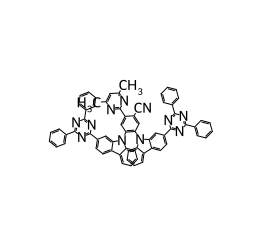 Cc1cc(C)nc(-c2cc(-n3c4ccccc4c4ccc(-c5nc(-c6ccccc6)nc(-c6ccccc6)n5)cc43)c(-n3c4ccccc4c4ccc(-c5nc(-c6ccccc6)nc(-c6ccccc6)n5)cc43)cc2C#N)n1